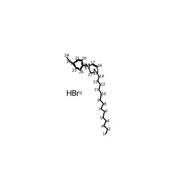 Br.CCCCCCCCCCCCCCN1C=CN(c2ccc(CC)cc2)C1